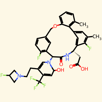 Cc1cc2cc(c1F)[C@H](CC(=O)O)NC(=O)[C@@H](N1C=C(CCN3CC(F)C3)C(C(F)(F)F)=CC1O)c1cc(ccc1F)COc1cccc(C)c1-2